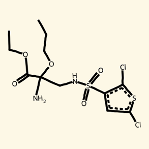 CCCOC(N)(CNS(=O)(=O)c1cc(Cl)sc1Cl)C(=O)OCC